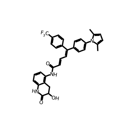 Cc1ccc(C)n1-c1ccc(C(=CC=CC(=O)Nc2cccc3c2CC(O)C(=O)N3)c2ccc(C(F)(F)F)cc2)cc1